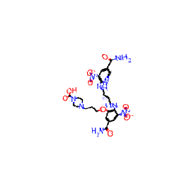 NC(=O)c1cnc(NC/C=C/CNc2c(OCCCN3CCN(C(=O)O)CC3)cc(C(N)=O)cc2[N+](=O)[O-])c([N+](=O)[O-])c1